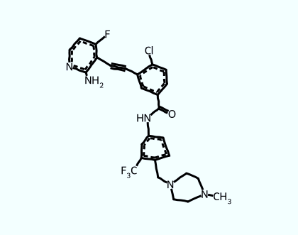 CN1CCN(Cc2ccc(NC(=O)c3ccc(Cl)c(C#Cc4c(F)ccnc4N)c3)cc2C(F)(F)F)CC1